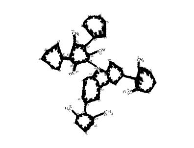 Cc1cccc(C)c1-c1ccc2c(c1)c1cc(-c3c(C)cccc3C)ccc1n2-c1c(C#N)c(-c2ccccc2)c(C#N)c(-c2ccccc2)c1C#N